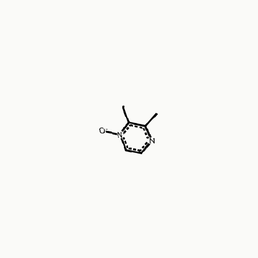 Cc1ncc[n+]([O-])c1C